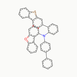 c1ccc(-c2ccc(N(c3ccccc3-c3ccc4c(c3)sc3ccccc34)c3cccc4oc5ccccc5c34)cc2)cc1